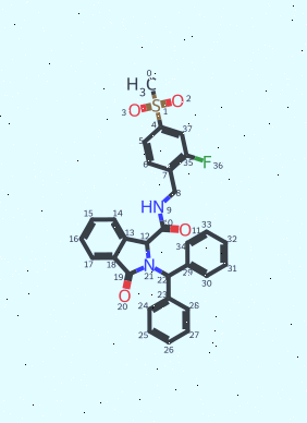 CS(=O)(=O)c1ccc(CNC(=O)C2c3ccccc3C(=O)N2C(c2ccccc2)c2ccccc2)c(F)c1